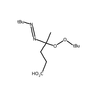 CC(C)(C)N=NC(C)(CCC(=O)O)OOC(C)(C)C